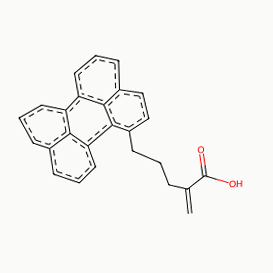 C=C(CCCc1ccc2cccc3c4cccc5cccc(c1c23)c54)C(=O)O